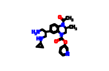 CC(=O)N1c2ccc(C(CN)CNC3CC3)cc2N(C(=O)Oc2cccnc2)C[C@@H]1C